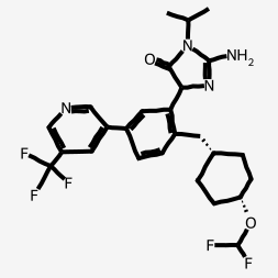 CC(C)N1C(=O)C(c2cc(-c3cncc(C(F)(F)F)c3)ccc2C[C@H]2CC[C@@H](OC(F)F)CC2)N=C1N